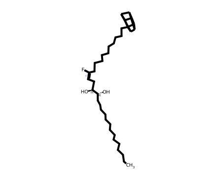 CCCCCCCCCCCCCC[C@@H](O)[C@@H](O)C/C=C(/F)CCCCCCCCCCC12C3C4C5C3C1C5C42